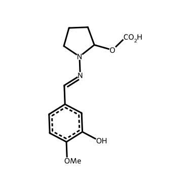 COc1ccc(C=NN2CCCC2OC(=O)O)cc1O